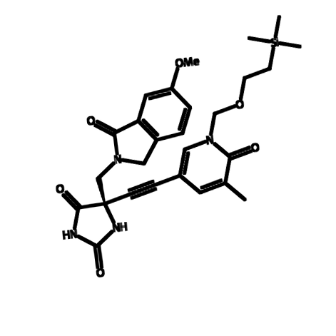 COc1ccc2c(c1)C(=O)N(C[C@@]1(C#Cc3cc(C)c(=O)n(COCC[Si](C)(C)C)c3)NC(=O)NC1=O)C2